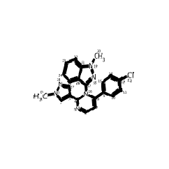 Cn1cc(C2N=CC=C(c3ccc(Cl)cc3)N2c2nn(C)c3ccccc23)cn1